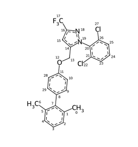 Cc1cccc(C)c1-c1ccc(OCc2cc(C(F)(F)F)nn2-c2c(Cl)cccc2Cl)cc1